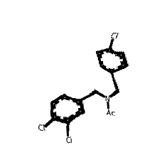 CC(=O)N(Cc1ccc(Cl)cc1)Cc1ccc(Cl)c(Cl)c1